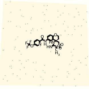 CN1C(=N)N[C@@]2(CCOc3ccc(NC(=O)c4ccc(OC(F)(F)F)cn4)cc32)CS1(=O)=O